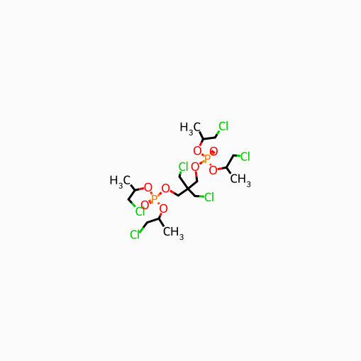 CC(CCl)OP(=O)(OCC(CCl)(CCl)COP(=O)(OC(C)CCl)OC(C)CCl)OC(C)CCl